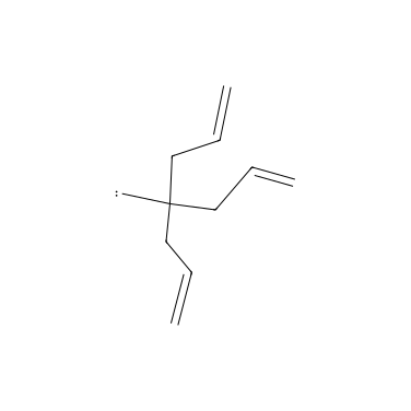 [CH]C(CC=C)(CC=C)CC=C